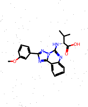 COc1cccc(-c2nc3c4ccccc4nc(N[C@@H](C(=O)O)C(C)C)n3n2)c1